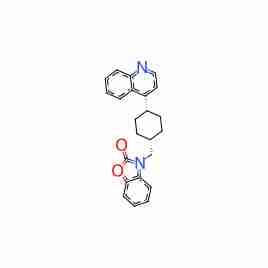 O=c1oc2ccccc2n1C[C@H]1CC[C@@H](c2ccnc3ccccc32)CC1